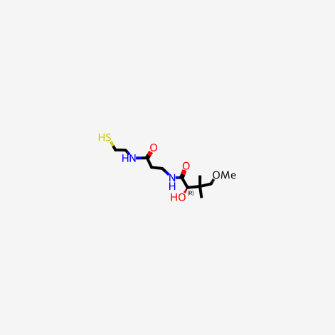 COCC(C)(C)[C@@H](O)C(=O)NCCC(=O)NCCS